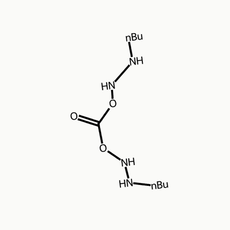 CCCCNNOC(=O)ONNCCCC